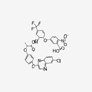 CC(Oc1ccc(Oc2cnc3cc(Cl)ccc3n2)cc1)C(=O)O.O=C(O)c1cc(Oc2ccc(C(F)(F)F)cc2Cl)ccc1[N+](=O)[O-]